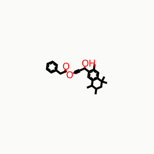 Cc1cc2c(cc1C(O)C#COC(=O)Cc1ccccc1)C(C)C(C)CC2(C)C